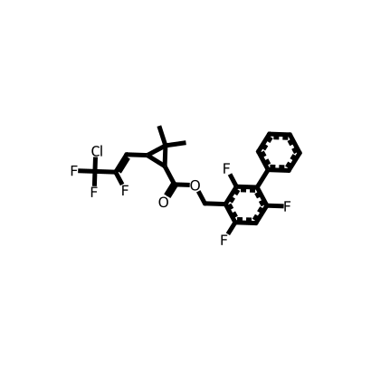 CC1(C)C(C=C(F)C(F)(F)Cl)C1C(=O)OCc1c(F)cc(F)c(-c2ccccc2)c1F